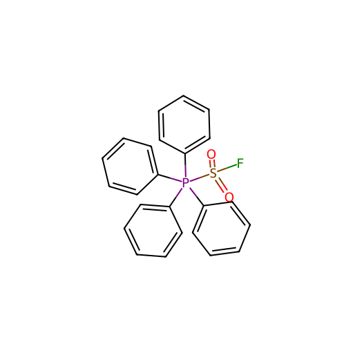 O=S(=O)(F)P(c1ccccc1)(c1ccccc1)(c1ccccc1)c1ccccc1